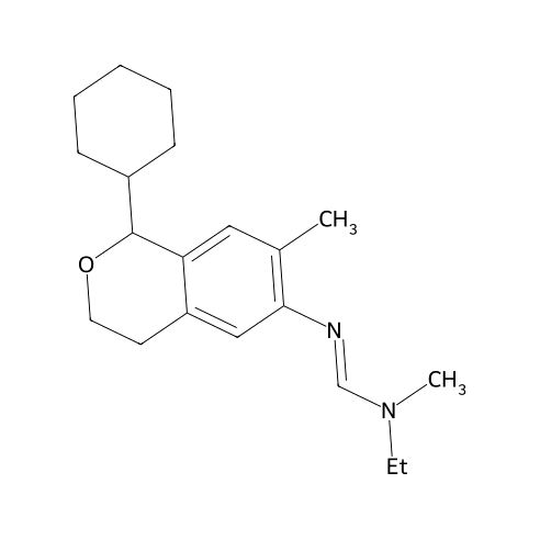 CCN(C)/C=N/c1cc2c(cc1C)C(C1CCCCC1)OCC2